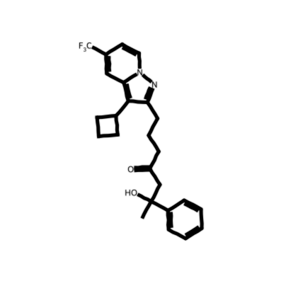 CC(O)(CC(=O)CCCc1nn2ccc(C(F)(F)F)cc2c1C1CCC1)c1ccccc1